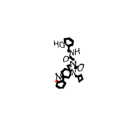 CN(C)C1(c2ccccc2)CCC2(CC1)CN(CC(=O)NCc1ccccc1O)C(=O)N2CC1CCC1